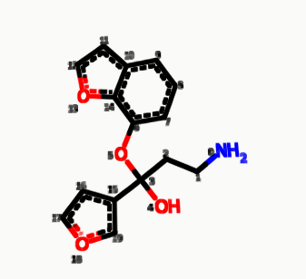 NCCC(O)(Oc1cccc2ccoc12)c1ccoc1